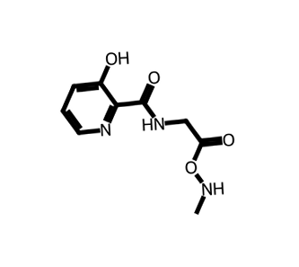 CNOC(=O)CNC(=O)c1ncccc1O